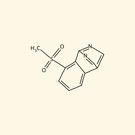 CS(=O)(=O)c1[c]ccc2c3cnc(nc3)c12